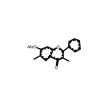 COc1cc2oc(-c3ccccc3)c(I)c(=O)c2cc1C